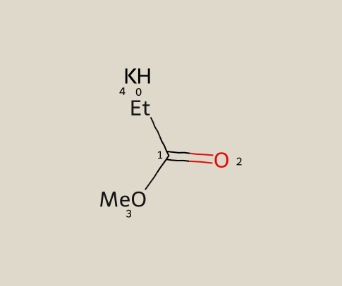 CCC(=O)OC.[KH]